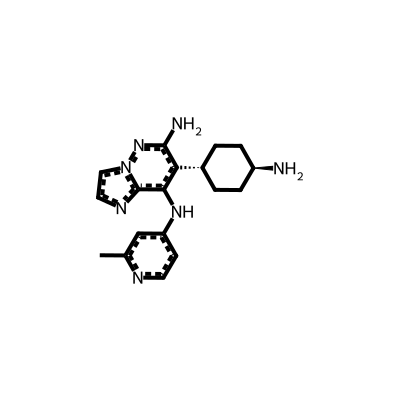 Cc1cc(Nc2c3nccn3nc(N)c2[C@H]2CC[C@H](N)CC2)ccn1